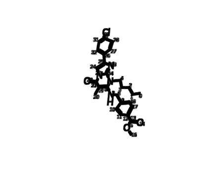 CCCCCn1c(NCc2ccc(C(=O)OC)cc2)c(C)c(=O)n2cc(-c3ccc(Cl)cc3)nc12